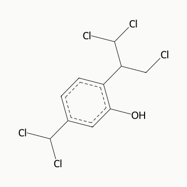 Oc1cc(C(Cl)Cl)ccc1C(CCl)C(Cl)Cl